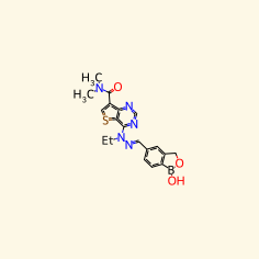 CCN(/N=C/c1ccc2c(c1)COB2O)c1ncnc2c(C(=O)N(C)C)csc12